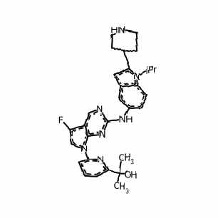 CC(C)n1c(C2CCNCC2)cc2cc(Nc3ncc4c(F)cn(-c5cccc(C(C)(C)O)n5)c4n3)ccc21